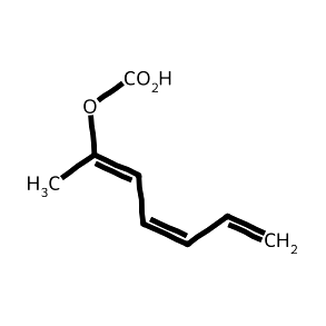 C=C/C=C\C=C(/C)OC(=O)O